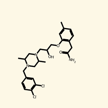 Cc1ccc(CC(N)=O)c(OCC(O)CN2CC(C)N(Cc3ccc(Cl)c(Cl)c3)CC2C)c1